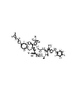 C[C@H](c1ccc(OCC2CC2)cc1)N(C(=O)OC(C)(C)C)[C@H](CCCNC(=O)OCc1ccccc1)C(N)=O